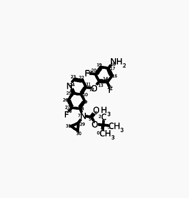 CC(C)(C)OC(=O)N(c1cc2c(Oc3c(F)cc(N)cc3F)ccnc2cc1F)C1CC1